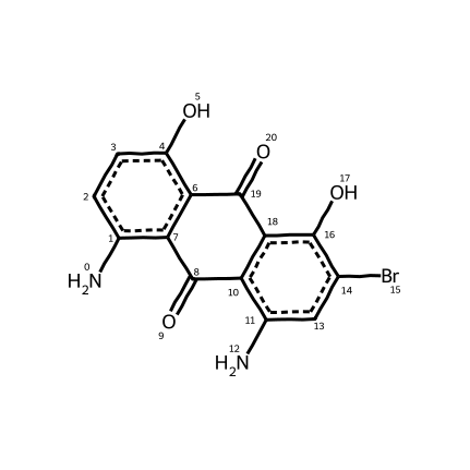 Nc1ccc(O)c2c1C(=O)c1c(N)cc(Br)c(O)c1C2=O